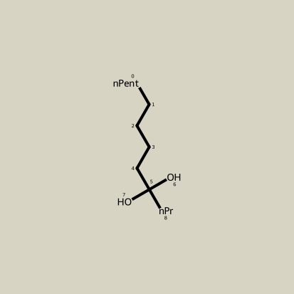 CCCCCCCCCC(O)(O)CCC